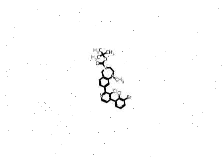 CN1CCN(C(=O)OC(C)(C)C)Cc2ccc(-c3nccc(-c4cccc(Br)c4Cl)c3Cl)cc21